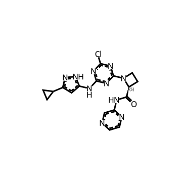 O=C(Nc1cnccn1)[C@@H]1CCN1c1nc(Cl)nc(Nc2cc(C3CC3)n[nH]2)n1